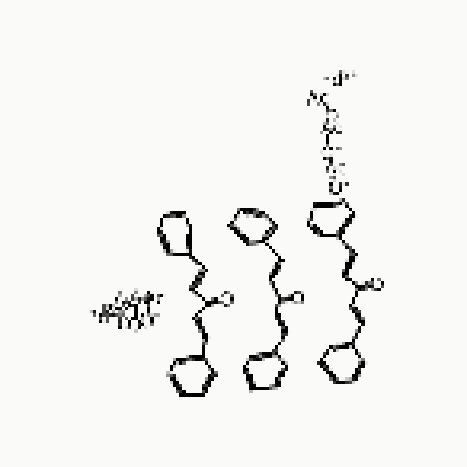 CC(=O)[O-].CC(=O)[O-].CC(=O)[O-].CC(=O)[O-].CC(=O)[O-].CC(=O)[O-].O=C(C=Cc1ccccc1)C=Cc1ccccc1.O=C(C=Cc1ccccc1)C=Cc1ccccc1.O=C(C=Cc1ccccc1)C=Cc1ccccc1.[Pd+2].[Pd+2].[Pd+2]